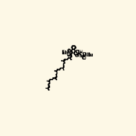 CCC(=O)Oc1c(CC=C(C)CCC=C(C)CCC=C(C)CCC=C(C)CCC=C(C)CCC=C(C)CCC=C(C)C)c(C)c(OC(=O)CNC(=O)OC(C)(C)C)c2ccccc12